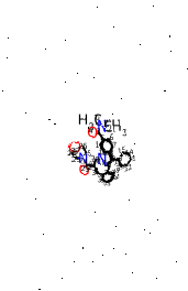 CN(C)C(=O)c1ccc2c(C3CCCCC3)c3n(c2c1)CC(C(=O)N1CCOCC1)=Cc1ccccc1-3